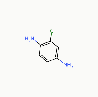 Nc1ccc(N)c(Cl)c1